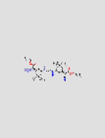 CCOC(=O)/C(N)=C1\C=C(NCCNC2=C/C(=C(\C#N)C(=O)OCC)CC(C)(C)C2)CC(C)(C)C1